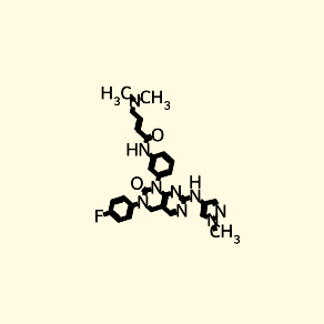 CN(C)C/C=C/C(=O)Nc1cccc(N2C(=O)N(c3ccc(F)cc3)Cc3cnc(Nc4cnn(C)c4)nc32)c1